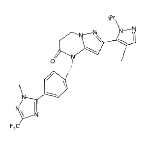 Cc1cnn(C(C)C)c1-c1cc2n(n1)CCC(=O)N2Cc1ccc(-c2nc(C(F)(F)F)nn2C)cc1